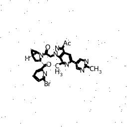 CC(=O)c1nn(CC(=O)N2C3C[C@@H]3C[C@H]2C(=O)c2cccc(Br)n2)c2c(C)nc(-c3cnc(C)nc3)cc12